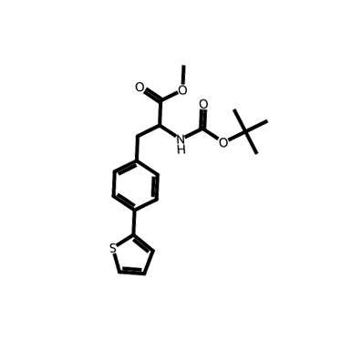 COC(=O)C(Cc1ccc(-c2cccs2)cc1)NC(=O)OC(C)(C)C